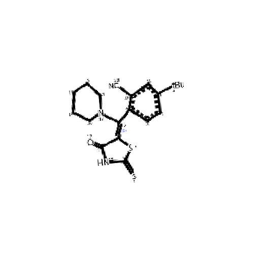 CC(C)(C)c1ccc(/C(=C2\SC(=S)NC2=O)N2CCCCC2)c(C#N)c1